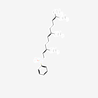 CC(C)=CCC/C(C)=C/CC/C(C)=C/C[S+]([O-])c1ccccc1